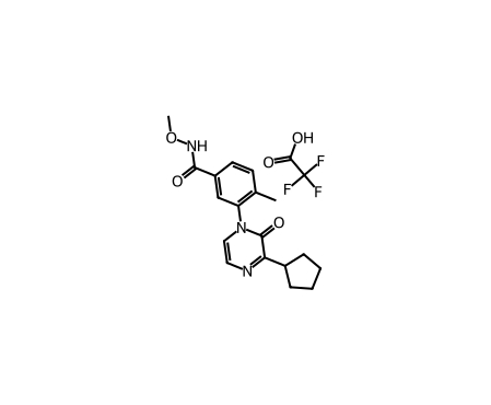 CONC(=O)c1ccc(C)c(-n2ccnc(C3CCCC3)c2=O)c1.O=C(O)C(F)(F)F